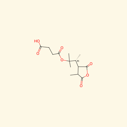 CC1C(=O)OC(=O)C1[C@@H](C)C(C)(C)OC(=O)CCC(=O)O